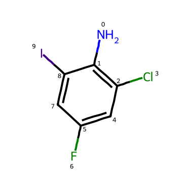 Nc1c(Cl)cc(F)cc1I